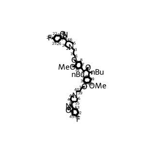 CCCCC(C(=O)C(CCCC)c1ccc(OCCCN2CCC(c3noc4cc(F)ccc34)CC2)c(OC)c1)c1ccc(OCCCN2CCC(c3noc4cc(F)ccc34)CC2)c(OC)c1